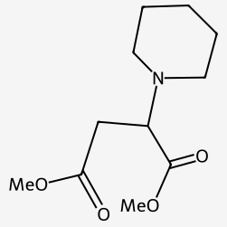 COC(=O)CC(C(=O)OC)N1CCCCC1